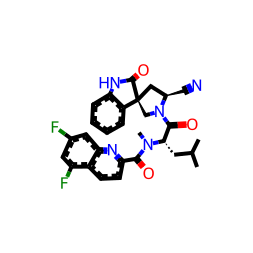 CC(C)C[C@@H](C(=O)N1C[C@]2(C[C@H]1C#N)C(=O)Nc1ccccc12)N(C)C(=O)c1ccc2c(F)cc(F)cc2n1